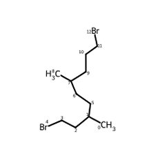 CC(CCBr)CCC(C)CCCBr